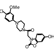 COc1cc(N2CCN(C(=O)Cn3c(=O)oc4cc(O)ccc43)CC2)ccc1Cl